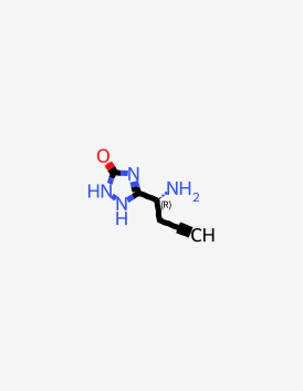 C#CC[C@@H](N)c1nc(=O)[nH][nH]1